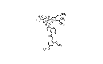 COc1ccc(CNc2ncnc3c2ccn3[C@@H]2O[C@H](CC(CCN)NC(C)C)[C@H]3OC(C)(C)O[C@H]32)c(OC)c1